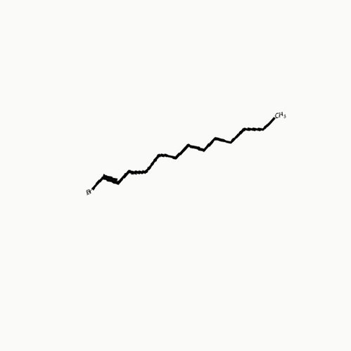 CCCCCCCCCCCC=CBr